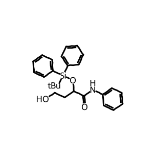 CC(C)(C)[Si](OC(CCO)C(=O)Nc1ccccc1)(c1ccccc1)c1ccccc1